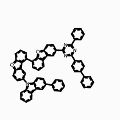 c1ccc(-c2ccc(-c3nc(-c4ccccc4)nc(-c4ccc5oc6c(-c7cccc8oc9ccc(-n%10c%11ccccc%11c%11cc(-c%12ccccc%12)ccc%11%10)cc9c78)cccc6c5c4)n3)cc2)cc1